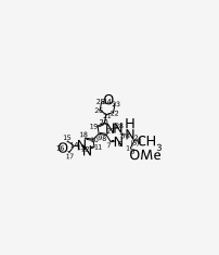 COC[C@H](C)Nc1ncc2c(-c3cnn(C4COC4)c3)cc(C3CCOCC3)n2n1